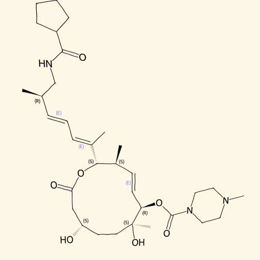 C/C(=C\C=C\[C@@H](C)CNC(=O)C1CCCC1)[C@H]1OC(=O)C[C@@H](O)CC[C@](C)(O)[C@H](OC(=O)N2CCN(C)CC2)/C=C/[C@@H]1C